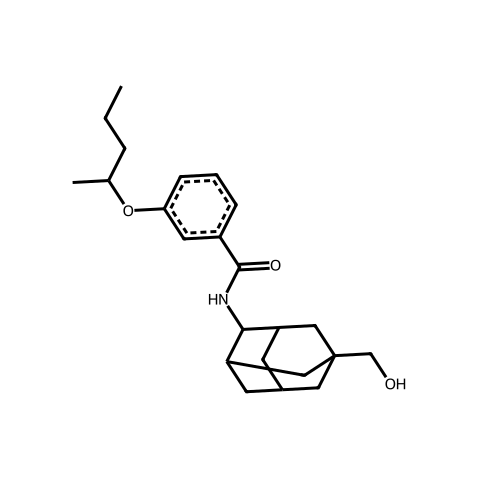 CCCC(C)Oc1cccc(C(=O)NC2C3CC4CC2CC(CO)(C4)C3)c1